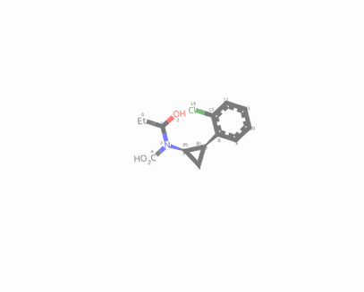 CCC(O)N(C(=O)O)[C@@H]1C[C@@H]1c1ccccc1Cl